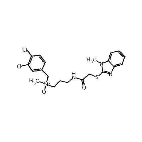 Cn1c(SCC(=O)NCCC[N+](C)([O-])Cc2ccc(Cl)c(Cl)c2)nc2ccccc21